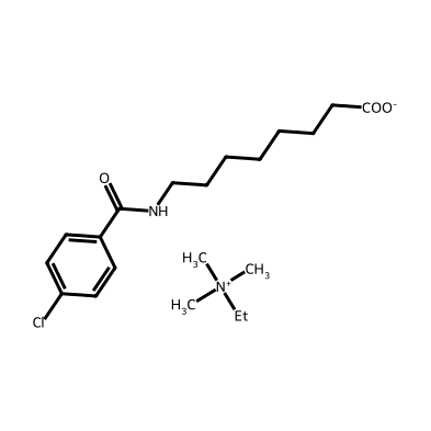 CC[N+](C)(C)C.O=C([O-])CCCCCCCNC(=O)c1ccc(Cl)cc1